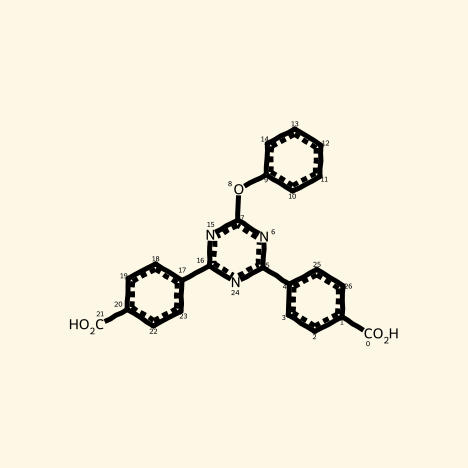 O=C(O)c1ccc(-c2nc(Oc3ccccc3)nc(-c3ccc(C(=O)O)cc3)n2)cc1